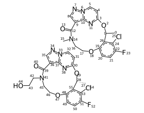 CC1Oc2ccn3ncc(c3n2)C(=O)N(C)CCOc2ccc(F)c(Cl)c21.C[C@H]1Oc2ccn3ncc(c3n2)C(=O)N(CCO)CCOc2ccc(F)c(Cl)c21